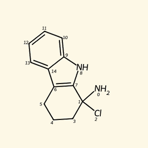 NC1(Cl)CCCc2c1[nH]c1ccccc21